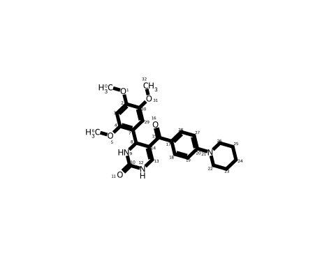 COc1cc(OC)c(C2NC(=O)NC=C2C(=O)c2ccc(N3CCCCC3)cc2)cc1OC